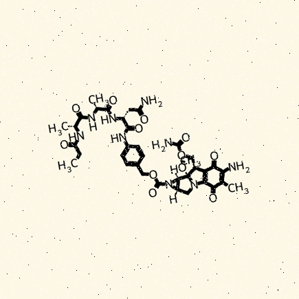 CCC(=O)N[C@H](C)C(=O)N[C@H](C)C(=O)N[C@H](CC(N)=O)C(=O)Nc1ccc(COC(=O)N2[C@@H]3CN4C5=C(C(=O)C(N)=C(C)C5=O)[C@H](COC(N)=O)[C@]4(OC)[C@@H]32)cc1